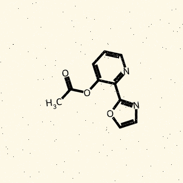 CC(=O)Oc1cccnc1-c1ncco1